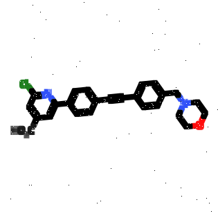 O=C(O)c1cc(Cl)nc(-c2ccc(C#Cc3ccc(CN4CCOCC4)cc3)cc2)c1